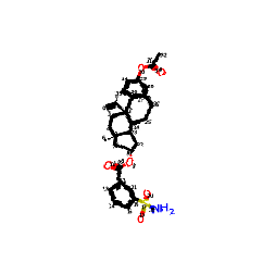 C=C[C@]12CC[C@]3(C)C[C@@H](OC(=O)c4cccc(S(N)(=O)=O)c4)CC3C1CCc1cc(OC(C)=O)ccc12